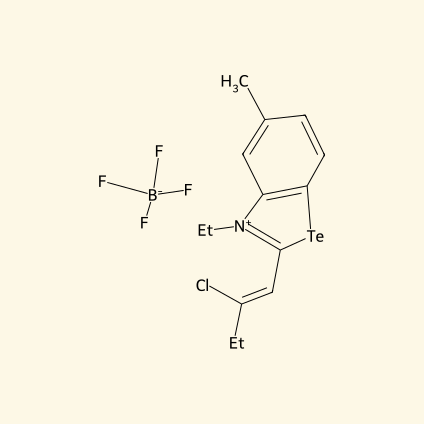 CCC(Cl)=Cc1[te]c2ccc(C)cc2[n+]1CC.F[B-](F)(F)F